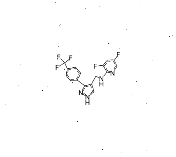 Fc1cnc(NCc2c[nH]nc2-c2ccc(C(F)(F)F)cc2)c(F)c1